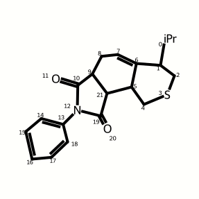 CC(C)C1CSCC2C1=CCC1C(=O)N(c3ccccc3)C(=O)C12